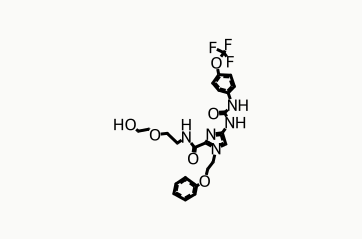 O=C(Nc1ccc(OC(F)(F)F)cc1)Nc1cn(CCOc2ccccc2)c(C(=O)NCCOCCO)n1